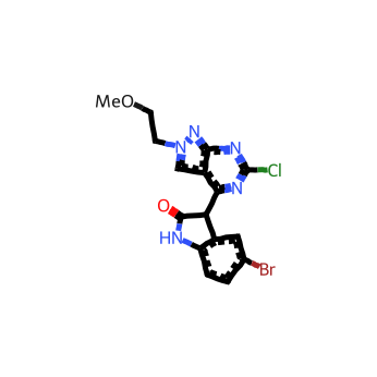 COCCn1cc2c(C3C(=O)Nc4ccc(Br)cc43)nc(Cl)nc2n1